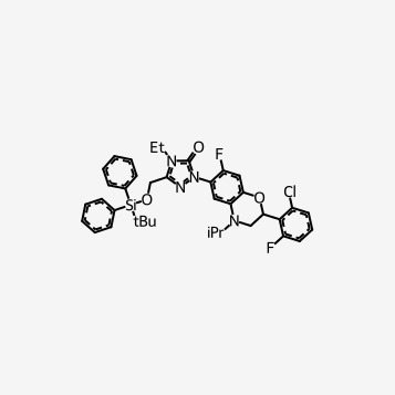 CCn1c(CO[Si](c2ccccc2)(c2ccccc2)C(C)(C)C)nn(-c2cc3c(cc2F)OC(c2c(F)cccc2Cl)CN3C(C)C)c1=O